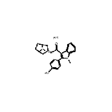 CN1C2CCC1CC(NC(=O)c1c(-c3ccc(O)cc3)n(C)c3ccccc13)C2.Cl